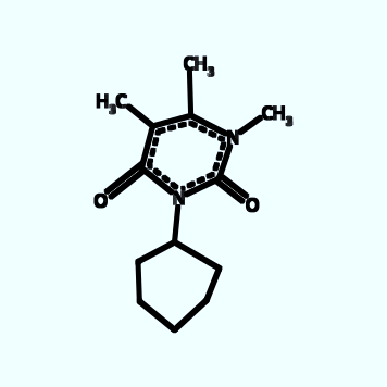 Cc1c(C)n(C)c(=O)n(C2CCCCC2)c1=O